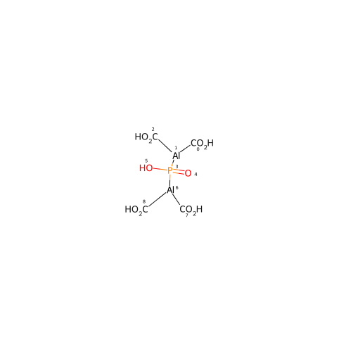 O=[C](O)[Al]([C](=O)O)[P](=O)(O)[Al]([C](=O)O)[C](=O)O